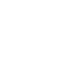 N#Cc1c(NC(=O)c2ccc(CNCCO)cn2)cccc1N1CCCCC1